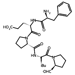 CC[C@H](C)[C@H](NC(=O)[C@@H]1CCCN1C(=O)[C@H](CCC(=O)O)NC(=O)[C@@H](N)Cc1ccccc1)C(=O)N1CCC[C@H]1[C]=O